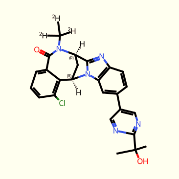 [2H]C([2H])([2H])N1C(=O)c2cccc(Cl)c2[C@H]2C[C@@H]1c1nc3ccc(-c4cnc(C(C)(C)O)nc4)cc3n12